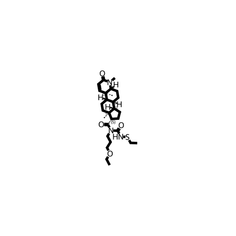 CCOCCCN(C(=O)NSCC)C(=O)[C@H]1CC[C@H]2[C@@H]3CC[C@H]4N(C)C(=O)C=C[C@]4(C)[C@H]3CC[C@]12C